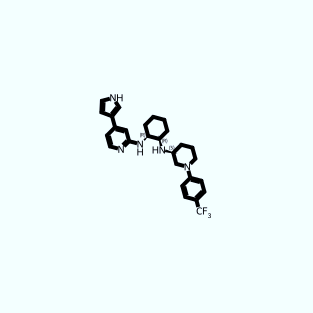 FC(F)(F)c1ccc(N2CCC[C@H](N[C@@H]3CCCC[C@H]3Nc3cc(-c4cc[nH]c4)ccn3)C2)cc1